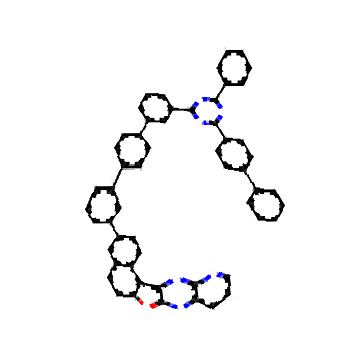 c1ccc(-c2ccc(-c3nc(-c4ccccc4)nc(-c4cccc(-c5ccc(-c6cccc(-c7ccc8c(ccc9oc%10nc%11cccnc%11nc%10c98)c7)c6)cc5)c4)n3)cc2)cc1